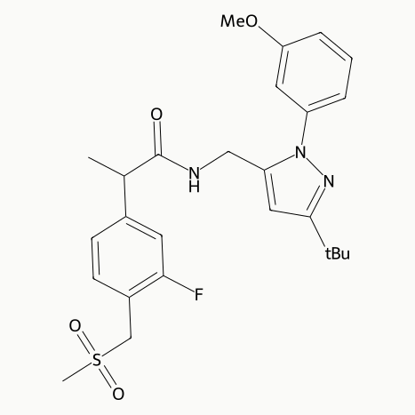 COc1cccc(-n2nc(C(C)(C)C)cc2CNC(=O)C(C)c2ccc(CS(C)(=O)=O)c(F)c2)c1